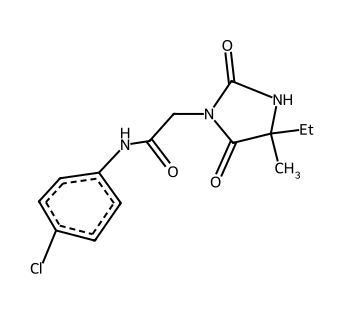 CCC1(C)NC(=O)N(CC(=O)Nc2ccc(Cl)cc2)C1=O